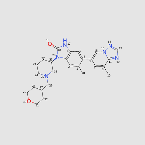 Cc1cc2c(cc1-c1cc(C)c3ncnn3c1)[nH]c(=O)n2[C@@H]1CCCN(CC2CCOCC2)C1